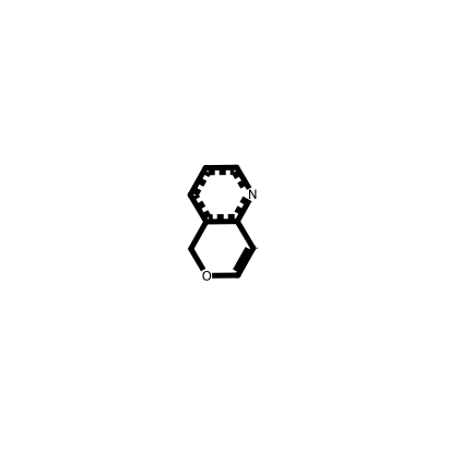 [C]1=COCc2cccnc21